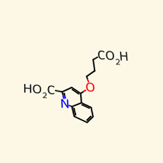 O=C(O)CCCOc1cc(C(=O)O)nc2ccccc12